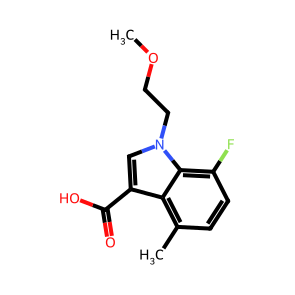 COCCn1cc(C(=O)O)c2c(C)ccc(F)c21